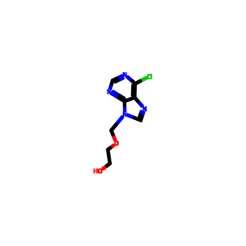 OCCOCn1cnc2c(Cl)ncnc21